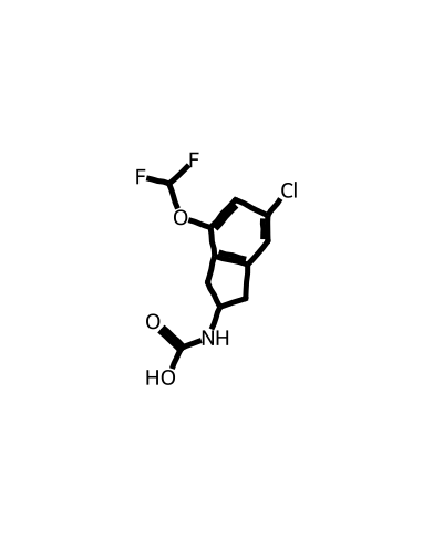 O=C(O)NC1Cc2cc(Cl)cc(OC(F)F)c2C1